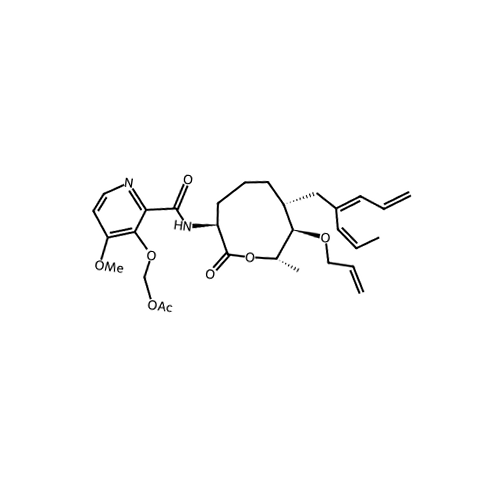 C=C/C=C(\C=C/C)C[C@H]1CCC[C@H](NC(=O)c2nccc(OC)c2OCOC(C)=O)C(=O)O[C@@H](C)[C@@H]1OCC=C